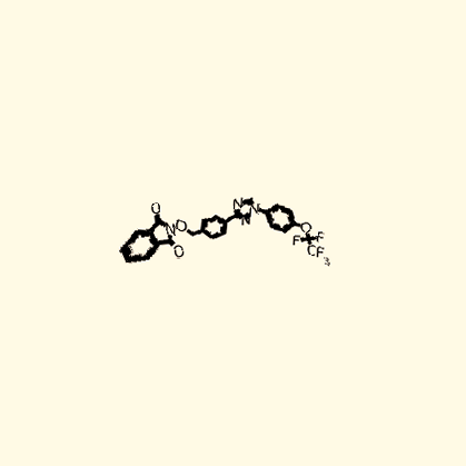 O=C1c2ccccc2C(=O)N1OCc1ccc(-c2ncn(-c3ccc(OC(F)(F)C(F)(F)F)cc3)n2)cc1